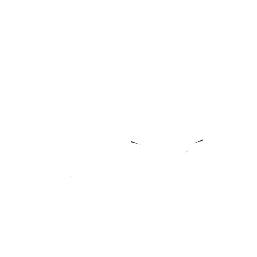 CP(=O)(O)OP(C)(=O)OP(=O)(O)OC[C@@H]1CC[C@H](C2CC[C@H]2C2CCC2)O1